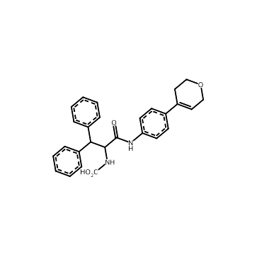 O=C(O)NC(C(=O)Nc1ccc(C2=CCOCC2)cc1)C(c1ccccc1)c1ccccc1